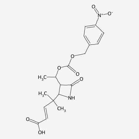 CC(OC(=O)OCc1ccc([N+](=O)[O-])cc1)C1C(=O)NC1C(C)(C)C=CC(=O)O